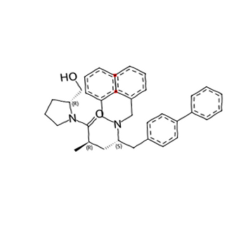 C[C@H](C[C@@H](Cc1ccc(-c2ccccc2)cc1)N(Cc1ccccc1)Cc1ccccc1)C(=O)N1CCC[C@@H]1CO